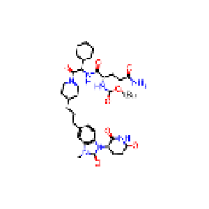 Cn1c(=O)n(C2CCC(=O)NC2=O)c2ccc(CCCC3CCN(C(=O)C(NC(=O)C(CCC(N)=O)NC(=O)OC(C)(C)C)C4CCCCC4)CC3)cc21